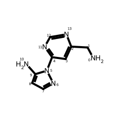 NCc1cc(-n2nccc2N)ncn1